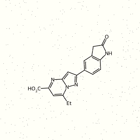 CCc1cc(C(=O)O)nc2cc(-c3ccc4c(c3)CC(=O)N4)nn12